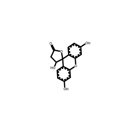 O=C1CC(O)C2(O1)c1ccc(O)cc1Oc1cc(O)ccc12